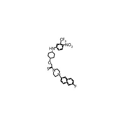 O=[N+]([O-])c1ccc(N[C@H]2CC[C@H](OCC(=S)N3CCN(c4ccc5cc(F)ccc5c4)CC3)CC2)cc1C(F)(F)F